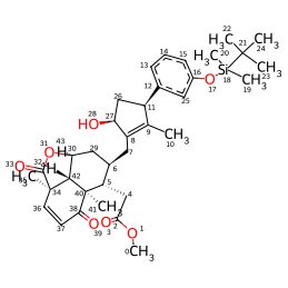 COC(=O)C[C@H]1[C@H](CC2=C(C)[C@H](c3cccc(O[Si](C)(C)C(C)(C)C)c3)C[C@@H]2O)C[C@@H]2OC(=O)[C@]3(C)C=CC(=O)[C@@]1(C)[C@@H]23